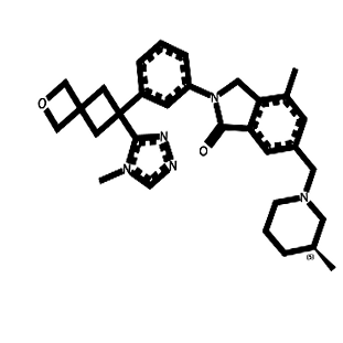 Cc1cc(CN2CCC[C@H](C)C2)cc2c1CN(c1cccc(C3(c4nncn4C)CC4(COC4)C3)c1)C2=O